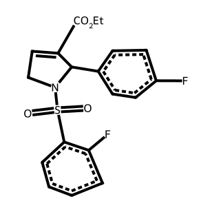 CCOC(=O)C1=CCN(S(=O)(=O)c2ccccc2F)C1c1ccc(F)cc1